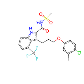 Cc1cc(OCCCc2c(C(=O)NS(C)(=O)=O)[nH]c3cccc(C(F)(F)F)c23)ccc1Cl